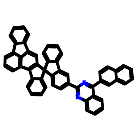 c1ccc2c(c1)-c1cccc3c4c(cc-2c13)C1(c2ccccc2-c2cc(-c3nc(-c5ccc6ccccc6c5)c5ccccc5n3)ccc21)c1ccccc1-4